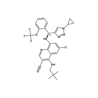 CC(C)(C)CNc1c(C#N)cnc2c(N[C@H](c3cn(C4CC4)nn3)c3ccccc3OC(F)(F)F)cc(Cl)cc12